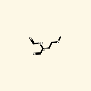 CSCC[C@@H](C=O)NC=O